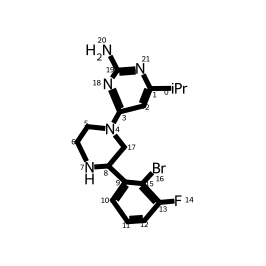 CC(C)c1cc(N2CCNC(c3cccc(F)c3Br)C2)nc(N)n1